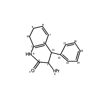 CCCC1C(=O)NC2=C(C=CCC2)C1c1ccccc1